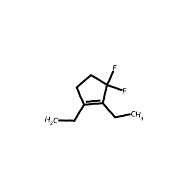 CCC1=C(CC)C(F)(F)CC1